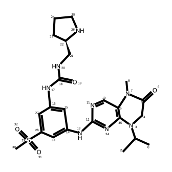 CC(C)N1CC(=O)N(C)c2cnc(Nc3cc(NC(=O)NC[C@H]4CCCN4)cc(S(C)(=O)=O)c3)nc21